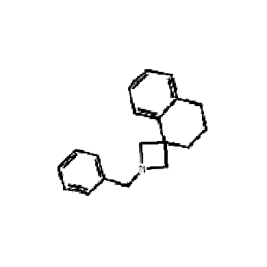 c1ccc(CN2CC3(CCCc4ccccc43)C2)cc1